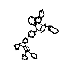 c1ccc(-c2ccc(N(c3ccc(-c4ccc5c6ccccc6c6c(-c7ccccc7)c(-c7ccccc7)oc6c5c4)cc3)c3cccc4c3sc3ccccc34)cc2)cc1